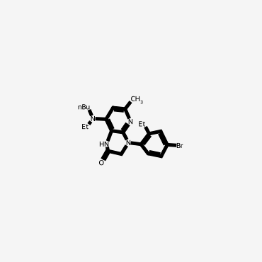 CCCCN(CC)c1cc(C)nc2c1NC(=O)CN2c1ccc(Br)cc1CC